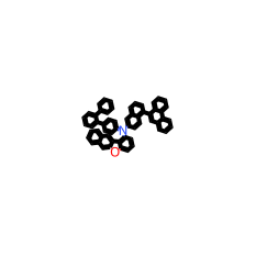 c1ccc(-c2ccccc2-c2ccc(N(c3ccc4c(-c5cc6ccccc6c6ccccc56)cccc4c3)c3cccc4oc5cc6ccccc6cc5c34)cc2)cc1